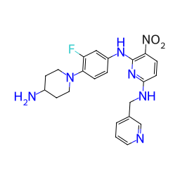 NC1CCN(c2ccc(Nc3nc(NCc4cccnc4)ccc3[N+](=O)[O-])cc2F)CC1